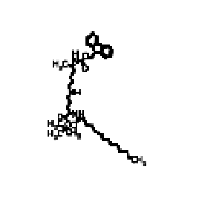 CCCCCCCCCCCCCC(=O)NC(CCCNCCCCC(C)NC(=O)OCC1c2ccccc2-c2ccccc21)C(=O)OC(C)(C)C